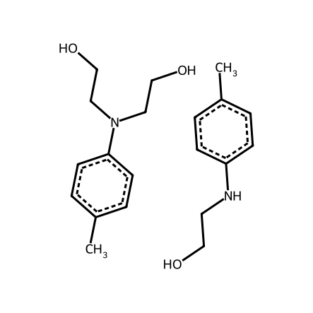 Cc1ccc(N(CCO)CCO)cc1.Cc1ccc(NCCO)cc1